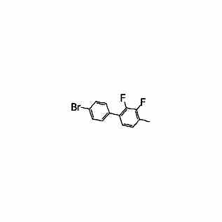 Cc1ccc(-c2ccc(Br)cc2)c(F)c1F